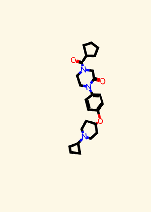 O=C(C1CCCC1)N1CCN(c2ccc(OC3CCN(C4CCC4)CC3)cc2)C(=O)C1